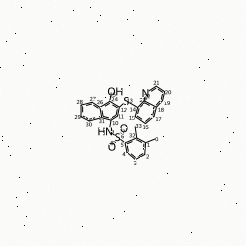 Cc1cccc(S(=O)(=O)Nc2cc(Sc3cccc4cccnc34)c(O)c3ccccc23)c1C